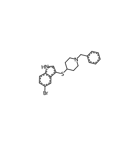 Brc1ccc2[nH]cc(SC3CCN(Cc4ccccc4)CC3)c2c1